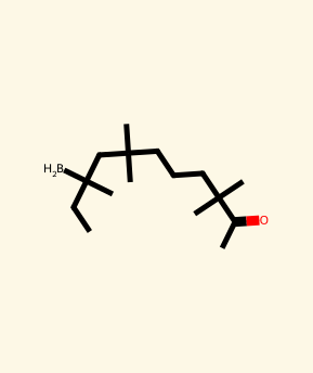 BC(C)(CC)CC(C)(C)CCCC(C)(C)C(C)=O